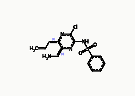 C=C/C=c1/nc(Cl)c(NS(=O)(=O)c2ccccc2)n/c1=C/N